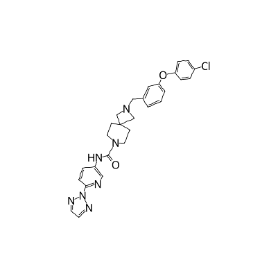 O=C(Nc1ccc(-n2nccn2)nc1)N1CCC2(CC1)CN(Cc1cccc(Oc3ccc(Cl)cc3)c1)C2